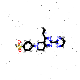 C/C=C/c1nc(-c2ncccn2)nc2c1CN(c1ccc(S(C)(=O)=O)cc1)CC2